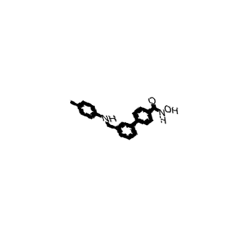 Cc1ccc(NCc2cccc(-c3ccc(C(=O)NO)cc3)c2)cc1